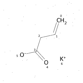 C=CCC(=O)[O-].[K+]